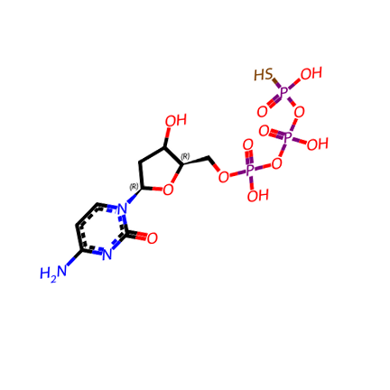 Nc1ccn([C@H]2CC(O)[C@@H](COP(=O)(O)OP(=O)(O)OP(=O)(O)S)O2)c(=O)n1